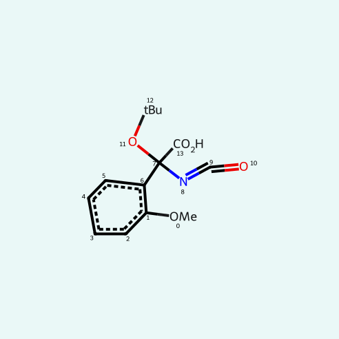 COc1ccccc1C(N=C=O)(OC(C)(C)C)C(=O)O